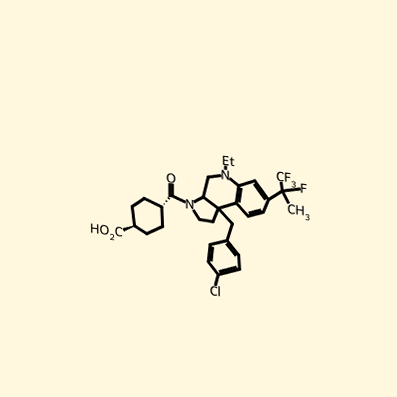 CCN1CC2N(C(=O)[C@H]3CC[C@H](C(=O)O)CC3)CCC2(Cc2ccc(Cl)cc2)c2ccc(C(C)(F)C(F)(F)F)cc21